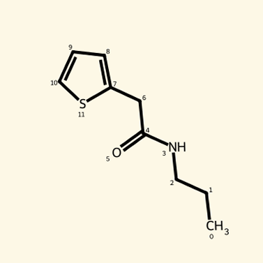 CCCNC(=O)Cc1cccs1